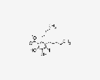 CCCCCc1c(I)c(O)c(O)c(C(=O)OI)c1CCCCC